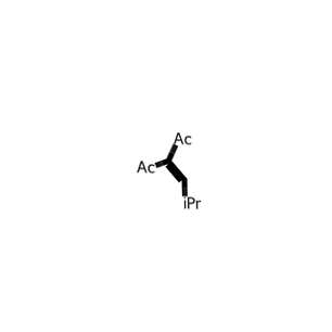 CC(=O)C(=CC(C)C)C(C)=O